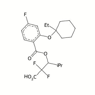 CCC1(Oc2cc(F)ccc2C(=O)OC(C(C)C)C(F)(F)C(=O)O)CCCCC1